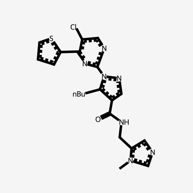 CCCCc1c(C(=O)NCc2cncn2C)cnn1-c1ncc(Cl)c(-c2cccs2)n1